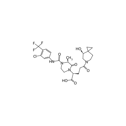 C[C@H]1C(=O)N([C@@H](CCC(=O)N2CCC3(CC3)[C@H](O)C2)C(=O)O)CCN1C(=O)Nc1ccc(C(F)(F)F)c(Cl)c1